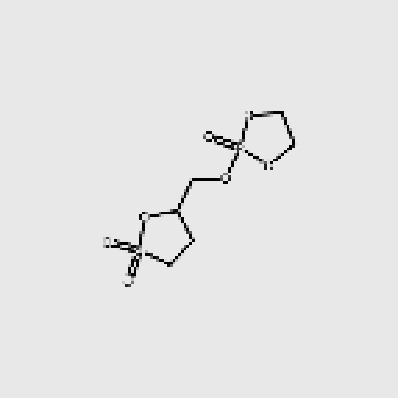 O=P1(OCC2CCS(=O)(=O)O2)OCCO1